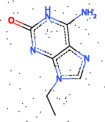 CCn1cnc2c(N)[nH]c(=O)nc21